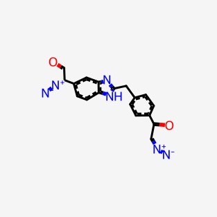 [N-]=[N+]=CC(=O)c1ccc(Cc2nc3cc(C(C=O)=[N+]=[N-])ccc3[nH]2)cc1